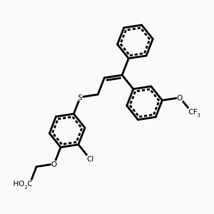 O=C(O)COc1ccc(SCC=C(c2ccccc2)c2cccc(OC(F)(F)F)c2)cc1Cl